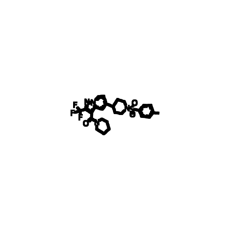 Cc1ccc(S(=O)(=O)N2CCC(c3ccn4nc(C(F)(F)F)c(C(=O)N5CCCCC5)c4c3)CC2)cc1